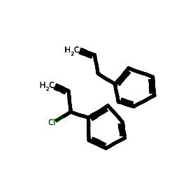 C=CC(Cl)c1ccccc1.C=CCc1ccccc1